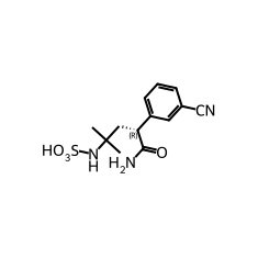 CC(C)(C[C@@H](C(N)=O)c1cccc(C#N)c1)NS(=O)(=O)O